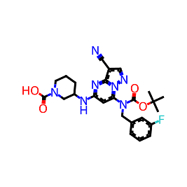 CC(C)(C)OC(=O)N(Cc1cccc(F)c1)c1cc(NC2CCCN(C(=O)O)C2)nc2c(C#N)cnn12